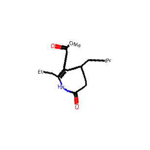 CCC1=C(C(=O)OC)C(CC(C)C)CC(=O)N1